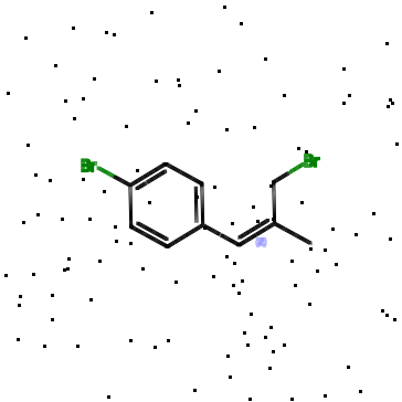 C/C(=C/c1ccc(Br)cc1)CBr